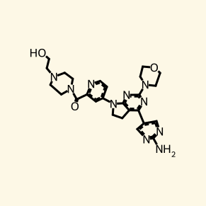 Nc1ncc(-c2nc(N3CCOCC3)nc3c2CCN3c2ccnc(C(=O)N3CCN(CCO)CC3)c2)cn1